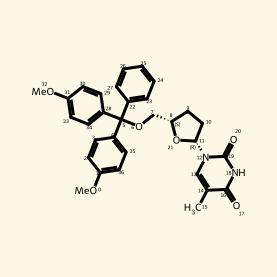 COc1ccc(C(OC[C@@H]2[CH]C[C@H](n3cc(C)c(=O)[nH]c3=O)O2)(c2ccccc2)c2ccc(OC)cc2)cc1